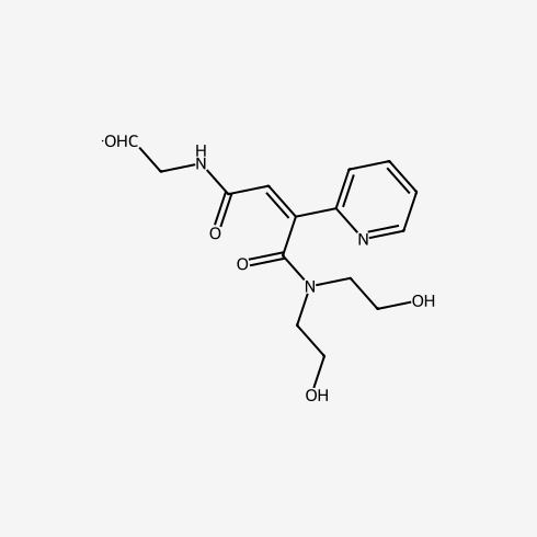 O=[C]CNC(=O)C=C(C(=O)N(CCO)CCO)c1ccccn1